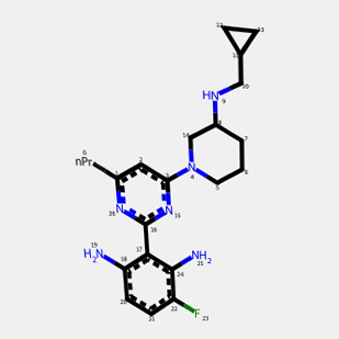 CCCc1cc(N2CCCC(NCC3CC3)C2)nc(-c2c(N)ccc(F)c2N)n1